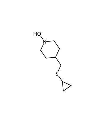 ON1CCC(CSC2CC2)CC1